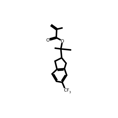 C=C(C)C(=O)OC(C)(C)C1Cc2ccc(C(F)(F)F)cc2C1